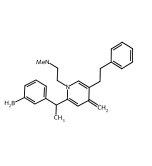 Bc1cccc(C(C)C2=CC(=C)C(CCc3ccccc3)=CN2CCNC)c1